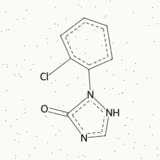 O=c1nc[nH]n1-c1ccccc1Cl